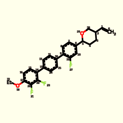 C=CC1CCC(c2ccc(-c3ccc(-c4ccc(OCC)c(F)c4F)cc3)c(F)c2)OC1